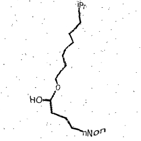 CCCCCCCCCCCCC(O)OCCCCCCC(C)C